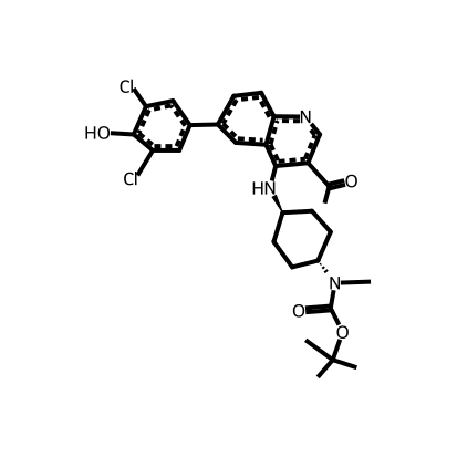 CC(=O)c1cnc2ccc(-c3cc(Cl)c(O)c(Cl)c3)cc2c1N[C@H]1CC[C@H](N(C)C(=O)OC(C)(C)C)CC1